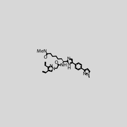 C=Cc1cn(CC(=O)N[C@@H](CCCCCC(=O)NC)c2ncc(-c3ccc(-c4ccn(C)n4)cc3)[nH]2)nc1C=C